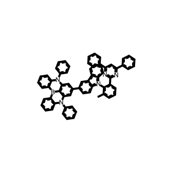 Cc1cccc(-c2nc(-c3ccccc3)cc(-c3ccccc3)n2)c1-n1c2ccccc2c2cc(-c3cc4c5c(c3)N(c3ccccc3)c3ccccc3B5c3ccccc3N4c3ccccc3)ccc21